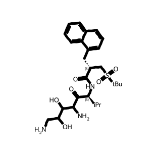 CC(C)[C@H](NC(=O)[C@H](Cc1cccc2ccccc12)CS(=O)(=O)C(C)(C)C)C(=O)C(N)C(O)C(O)CN